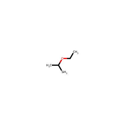 CCO[C](C)[SiH3]